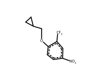 O=[N+]([O-])c1ccc(OCC2CC2)c(C(F)(F)F)c1